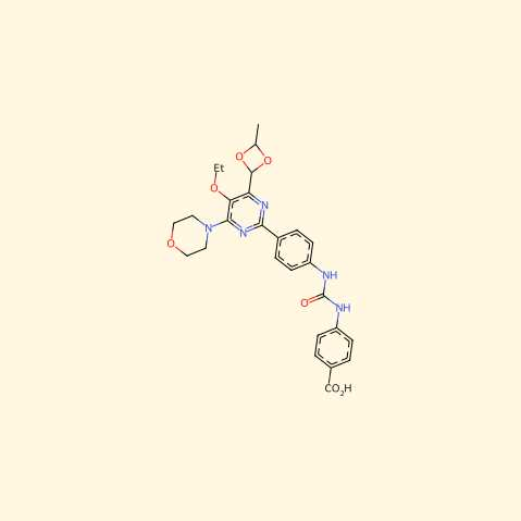 CCOc1c(C2OC(C)O2)nc(-c2ccc(NC(=O)Nc3ccc(C(=O)O)cc3)cc2)nc1N1CCOCC1